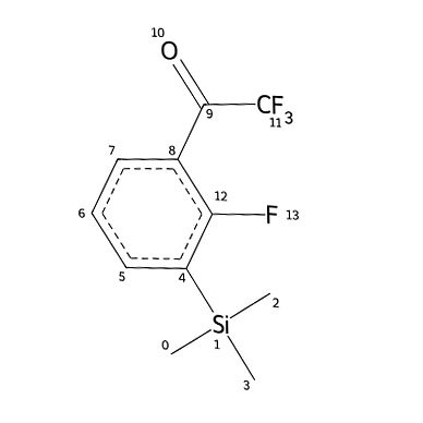 C[Si](C)(C)c1cccc(C(=O)C(F)(F)F)c1F